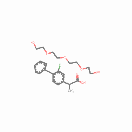 CC(C(=O)O)c1ccc(-c2ccccc2)c(F)c1.OCCOCCOCCOCCO